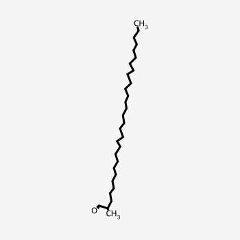 CCCCCCCCCCCCCCCCCCCCCCCCCCCCC(C)C=O